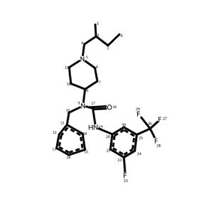 CCC(C)CN1CCC(N(Cc2ccccc2)C(=O)Nc2cc(F)cc(C(F)(F)F)c2)CC1